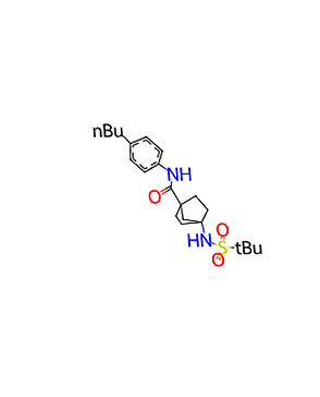 CCCCc1ccc(NC(=O)C23CCC(NS(=O)(=O)C(C)(C)C)(CC2)C3)cc1